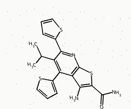 CC(C)c1c(-c2cccs2)nc2sc(C(N)=O)c(N)c2c1-c1cccs1